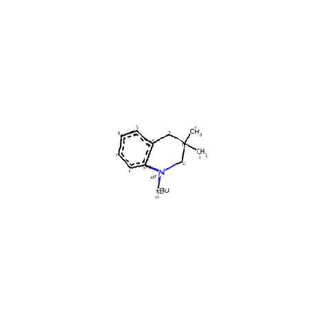 CC1(C)Cc2ccccc2N(C(C)(C)C)C1